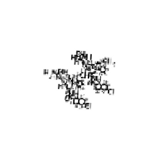 CC[C@H](CN1CC[C@@H](CNC(=O)c2ccc3cc(Cl)ccc3c2)N[C@@H](CCNC(=N)N)C1=O)c1ccccc1.CC[C@H](CN1CC[C@@H](CNC(=O)c2ccc3cc(Cl)ccc3c2)N[C@@H](CCNC(=N)NC)C1=O)c1ccccc1